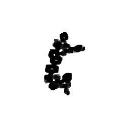 COC(=O)N[C@@H](C(=O)N1CCC[C@H]1c1ncc(-c2ccc(-c3ccc4cc(-c5cnc([C@@H]6CCCN6OC[C@@H](NC(=O)OC)C6COC6)[nH]5)ccc4c3)cc2)[nH]1)c1ccccc1